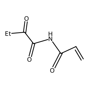 C=CC(=O)NC(=O)C(=O)CC